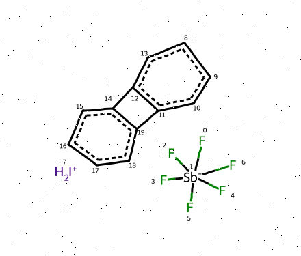 [F][Sb-]([F])([F])([F])([F])[F].[IH2+].c1ccc2c(c1)-c1ccccc1-2